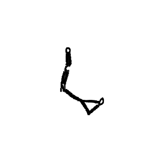 O=C=N[C]1CO1